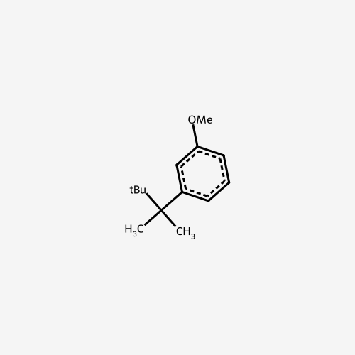 COc1cccc(C(C)(C)C(C)(C)C)c1